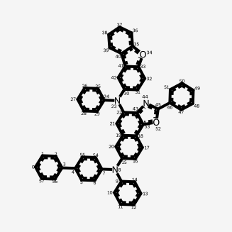 c1ccc(-c2ccc(N(c3ccccc3)c3ccc4c(c3)cc(N(c3ccccc3)c3ccc5oc6ccccc6c5c3)c3nc(-c5ccccc5)oc34)cc2)cc1